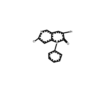 CC(C)c1cc2cnc(Cl)cc2n(-c2ccccc2)c1=O